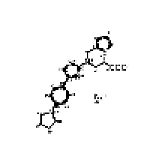 O=C([O-])CCN(Cc1cccs1)c1nc(-c2ccc(N3CCCC3)cc2)cs1.[Na+]